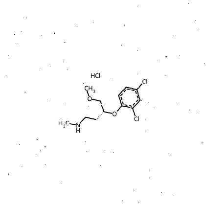 CNCC[C@H](COC)Oc1ccc(Cl)cc1Cl.Cl